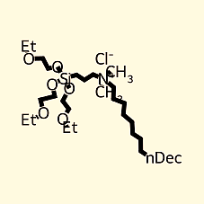 CCCCCCCCCCCCCCCCCC[N+](C)(C)CCC[Si](OCCOCC)(OCCOCC)OCCOCC.[Cl-]